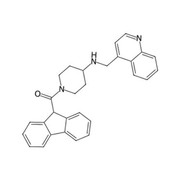 O=C(C1c2ccccc2-c2ccccc21)N1CCC(NCc2ccnc3ccccc23)CC1